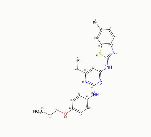 CCc1ccc2nc(Nc3cc(CC(C)C)nc(Nc4ccc(OCCC(=O)O)cc4)n3)sc2c1